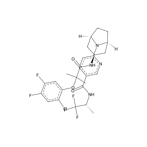 C[C@@H](NC(=O)c1ccc(N2[C@@H]3CC[C@H]2C[C@@H](NC(=O)C(C)(C)Oc2cc(F)c(F)cc2Cl)C3)nc1)C(F)(F)F